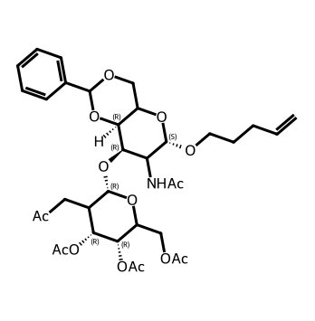 C=CCCCO[C@H]1OC2COC(c3ccccc3)O[C@@H]2[C@H](O[C@@H]2OC(COC(C)=O)[C@H](OC(C)=O)[C@H](OC(C)=O)C2CC(C)=O)C1NC(C)=O